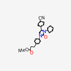 COC(=O)CCc1ccc(-n2cc(-c3ccc(C#N)cc3)n(-c3ccccc3)c2=O)cc1